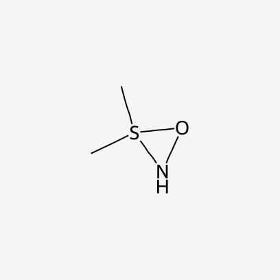 CS1(C)NO1